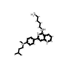 CC(C)CCN(C)c1ccc(-c2cc3ncccc3c(NCCCCN)n2)cc1